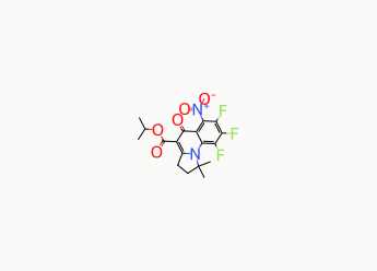 CC(C)OC(=O)c1c2n(c3c(F)c(F)c(F)c([N+](=O)[O-])c3c1=O)C(C)(C)CC2